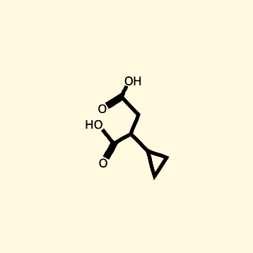 O=C(O)CC(C(=O)O)C1CC1